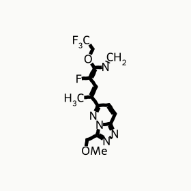 C=N/C(OCC(F)(F)F)=C(F)\C=C(/C)c1ccc2nnc(COC)n2n1